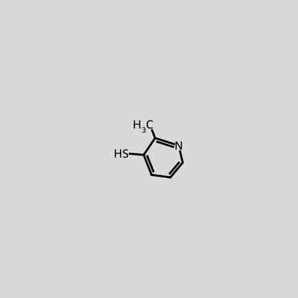 Cc1ncccc1S